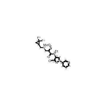 CCN(C(=O)C(CSCC1CC1(F)F)=NOC)c1cn(-c2cccnc2)nc1Cl